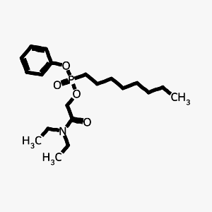 CCCCCCCCP(=O)(OCC(=O)N(CC)CC)Oc1ccccc1